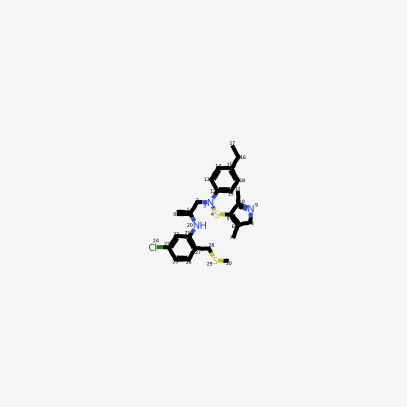 C=C(CN(SC1=C(C)CN=C1C)c1ccc(CC)cc1)Nc1cc(Cl)ccc1CSC